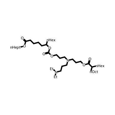 CCCCCCCCC(CCCCCC)C(=O)OCCCN(CCCOC(=O)OC(CCCCCC)CCCCC(=O)OCCCCCCC)CCCN(CC)CC